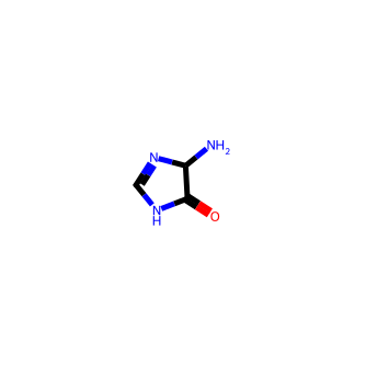 NC1N=CNC1=O